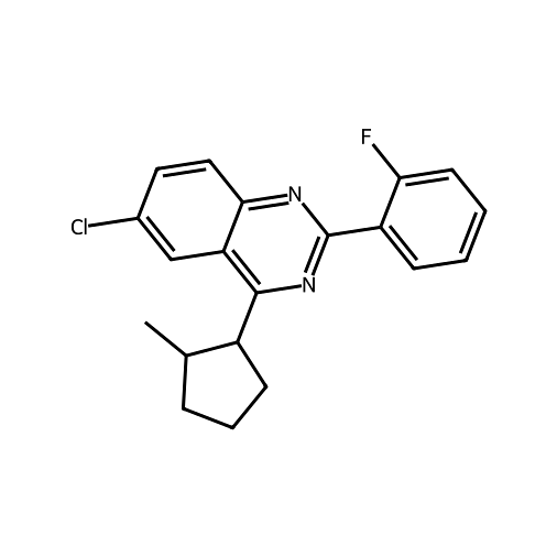 CC1CCCC1c1nc(-c2ccccc2F)nc2ccc(Cl)cc12